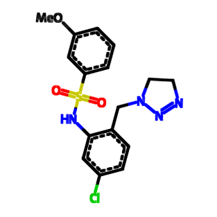 COc1cccc(S(=O)(=O)Nc2cc(Cl)ccc2CN2CCN=N2)c1